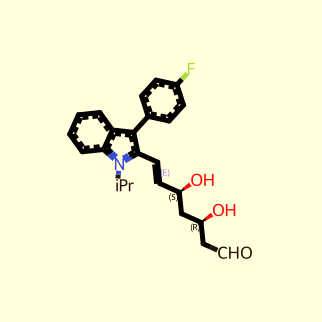 CC(C)n1c(/C=C/[C@@H](O)C[C@@H](O)CC=O)c(-c2ccc(F)cc2)c2ccccc21